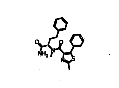 Cc1nc(C(=O)N(C)[C@H](CCc2ccccc2)C(N)=O)c(-c2ccccc2)s1